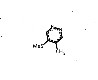 CSc1cnncc1C